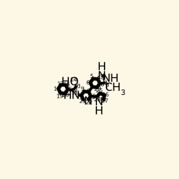 CC1NNc2ccc(-c3cc(NC(CO)c4ccccc4)cnc3-c3ccc[nH]3)cc21